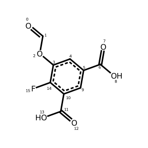 O=COc1cc(C(=O)O)cc(C(=O)O)c1F